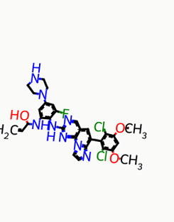 C=CC(O)Nc1cc(N2CCNCC2)cc(F)c1Nc1ncc2cc(-c3c(Cl)c(OC)cc(OC)c3Cl)c3nccn3c2n1